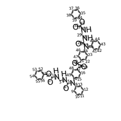 O=C(NCNC(=O)N(c1ccccc1)c1ccc(S(=O)(=O)c2ccc(N(C(=O)NCNC(=O)Oc3ccccc3)c3ccccc3)cc2)cc1)Oc1ccccc1